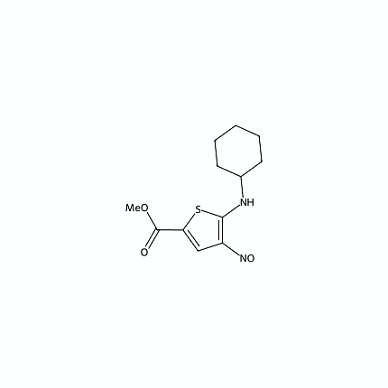 COC(=O)c1cc(N=O)c(NC2CCCCC2)s1